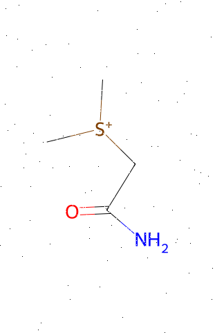 C[S+](C)CC(N)=O